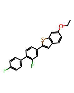 CCOc1ccc2cc(-c3ccc(-c4ccc(F)cc4)c(F)c3)sc2c1